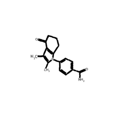 Cc1c2c(n(-c3ccc(C(N)=O)cc3)c1C)CCCC2=O